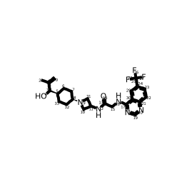 C=C(C)C(O)[C@H]1CC[C@H](N2CC(NC(=O)CNc3ncnc4ccc(C(F)(F)F)cc34)C2)CC1